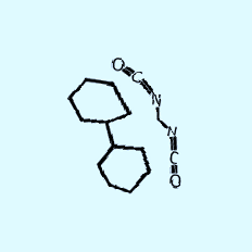 C1CCC(C2CCCCC2)CC1.O=C=NCN=C=O